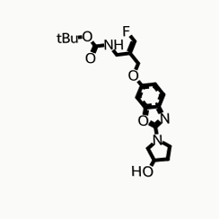 CC(C)(C)OC(=O)NC/C(=C\F)COc1ccc2nc(N3CCC(O)C3)oc2c1